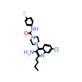 CCCCc1nc2cc(Cl)ccc2c(N2CCN(C(=O)Nc3ccc(F)cc3)CC2)c1N